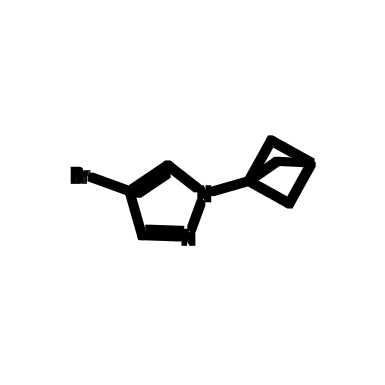 Brc1cnn(C23CC(C2)C3)c1